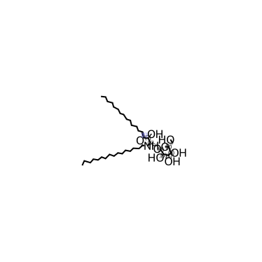 CCCCCCCCCCCCC/C=C/[C@@H](O)[C@H](CO[C@@H]1O[C@H](CO)[C@@H](O)[C@H](O)[C@@H]1O)NC(=O)CCCCCCCCCCCCCCC